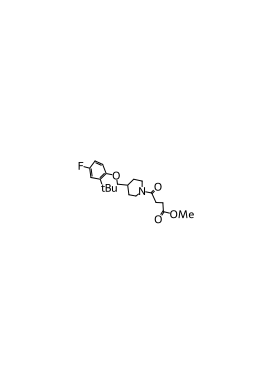 COC(=O)CCC(=O)N1CCC(COc2ccc(F)cc2C(C)(C)C)CC1